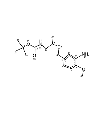 COc1ccc(COC(C)CNC(=O)OC(C)(C)C)cc1N